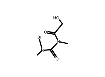 CN(Br)C(=O)N(C)C(=O)CO